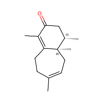 CC1=CC[C@@]2(C)C(=C(C)C(=O)C[C@@H]2C)CC1